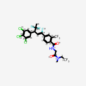 CN(CC(F)(F)F)C(=O)CNC(=O)c1ccc(/C(F)=C/C(c2cc(Cl)c(Cl)c(Cl)c2)C(C)(F)F)cc1C(F)(F)F